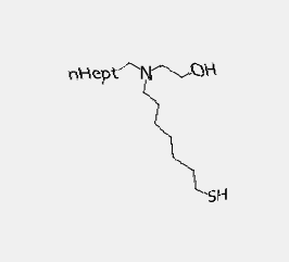 CCCCCCCCN(CCO)CCCCCCCS